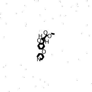 CCOC(=O)C1[C@H]2Oc3ccc(Oc4ccncc4)cc3[C@@H]12